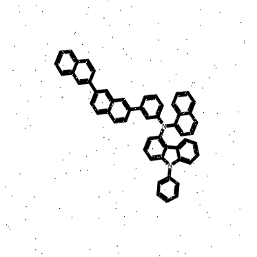 c1ccc(-n2c3ccccc3c3c(N(c4cccc(-c5ccc6ccc(-c7ccc8ccccc8c7)cc6c5)c4)c4cccc5ccccc45)cccc32)cc1